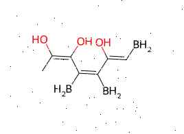 B/C=C(O)/C(B)=C(B)\C(O)=C(/C)O